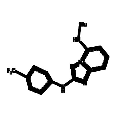 CC(C)(C)Nc1cccc2nc(Nc3ccc(C(F)(F)F)cc3)nn12